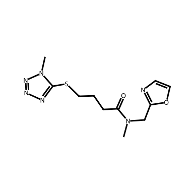 CN(Cc1ncco1)C(=O)CCCSc1nnnn1C